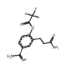 N=C(N)c1ccc(OC(=O)C(F)(F)F)c(CCC(N)=O)c1